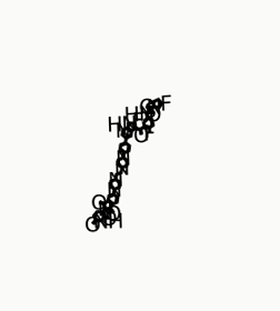 O=C1CCC(N2C(=O)c3ccc(N4CCN(CCN5CCN(c6ccc(-c7cnc8[nH]cc(C(=O)c9c(F)ccc(NS(=O)(=O)N%10CC[C@@H](F)C%10)c9F)c8c7)cc6)CC5)CC4)cc3C2=O)C(=O)N1